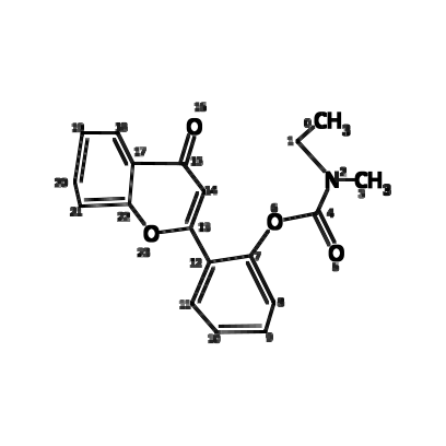 CCN(C)C(=O)Oc1ccccc1-c1cc(=O)c2ccccc2o1